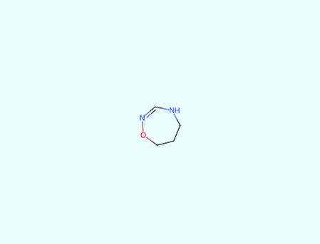 C1=NOCCCN1